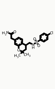 CC1(C)CC(CNS(=O)(=O)c2ccc(Cl)cc2)c2ccc(CC(N)=O)cc2O1